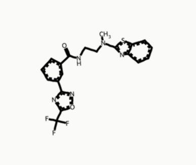 CN(CCNC(=O)c1cccc(-c2noc(C(F)(F)F)n2)c1)c1nc2ccccc2s1